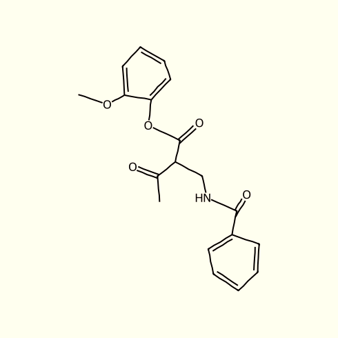 COc1ccccc1OC(=O)C(CNC(=O)c1ccccc1)C(C)=O